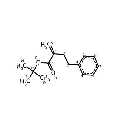 C=C(CCc1ccccc1)C(=O)OC(C)(C)C